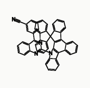 N#Cc1cccc(-c2nc(-n3c4ccccc4c4c5ccccc5c5c(c43)C3(c4ccccc4-c4ccccc43)c3ccccc3-5)nc3ccccc23)c1